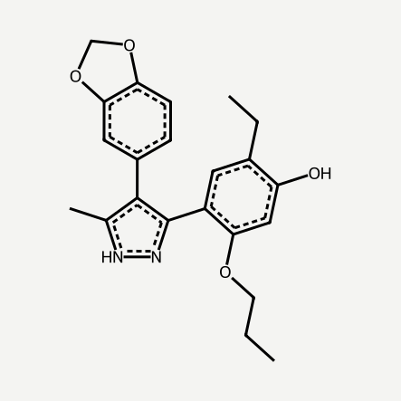 CCCOc1cc(O)c(CC)cc1-c1n[nH]c(C)c1-c1ccc2c(c1)OCO2